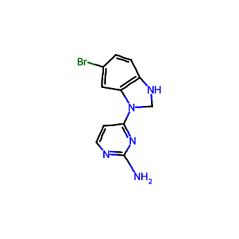 Nc1nccc(N2CNc3ccc(Br)cc32)n1